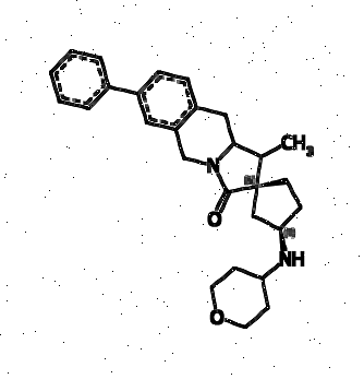 CC1C2Cc3ccc(-c4ccccc4)cc3CN2C(=O)[C@]12CC[C@@H](NC1CCOCC1)C2